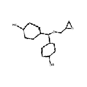 OC1CCC(C(OCC2CO2)C2CCC(O)CC2)CC1